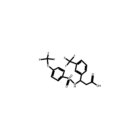 O=C(O)CC(NS(=O)(=O)c1ccc(OC(F)(F)F)cc1)c1cccc(C(F)(F)F)c1